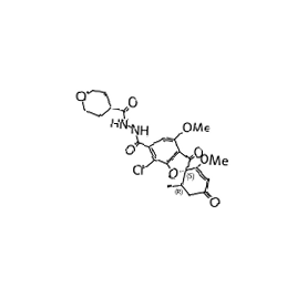 COC1=CC(=O)C[C@@H](C)[C@]12Oc1c(Cl)c(C(=O)NNC(=O)C3CCOCC3)cc(OC)c1C2=O